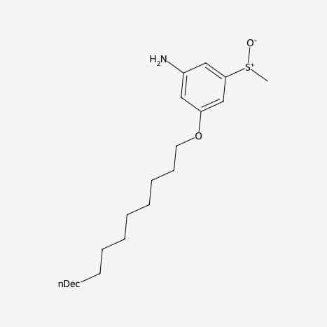 CCCCCCCCCCCCCCCCCCOc1cc(N)cc([S+](C)[O-])c1